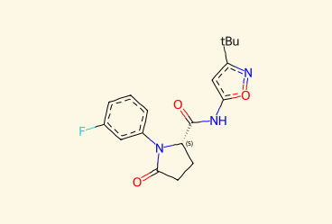 CC(C)(C)c1cc(NC(=O)[C@@H]2CCC(=O)N2c2cccc(F)c2)on1